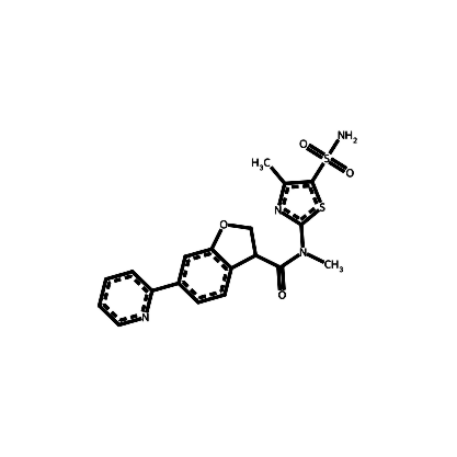 Cc1nc(N(C)C(=O)C2COc3cc(-c4ccccn4)ccc32)sc1S(N)(=O)=O